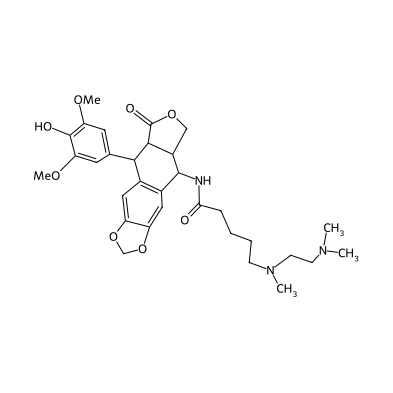 COc1cc(C2c3cc4c(cc3C(NC(=O)CCCCN(C)CCN(C)C)C3COC(=O)C23)OCO4)cc(OC)c1O